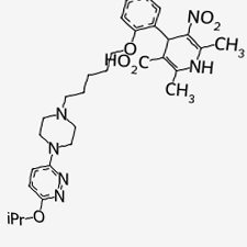 CC1=C(C(=O)O)C(c2ccccc2OCCCCCN2CCN(c3ccc(OC(C)C)nn3)CC2)C([N+](=O)[O-])=C(C)N1